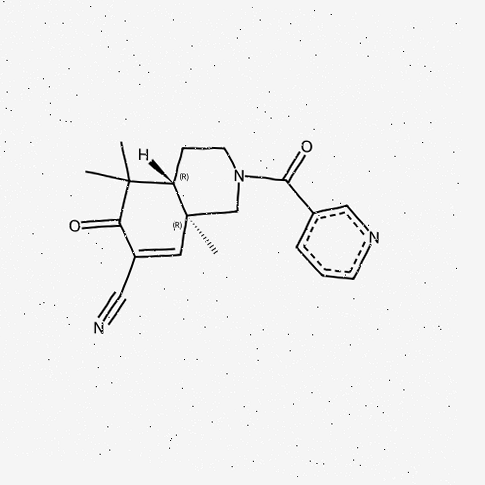 CC1(C)C(=O)C(C#N)=C[C@]2(C)CN(C(=O)c3cccnc3)CC[C@@H]12